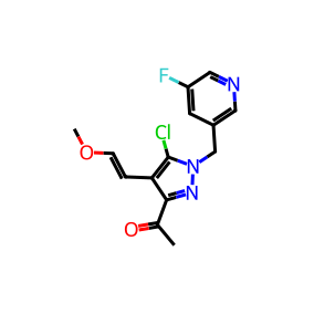 COC=Cc1c(C(C)=O)nn(Cc2cncc(F)c2)c1Cl